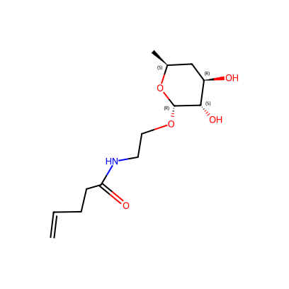 C=CCCC(=O)NCCO[C@@H]1O[C@@H](C)C[C@@H](O)[C@@H]1O